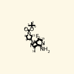 CC(C)(C)OC(=O)N1CC[C@H](n2nc(I)c3c(N)ncc(F)c32)C1